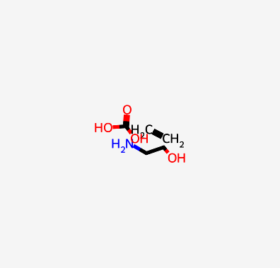 C=C.NCCO.O=C(O)O